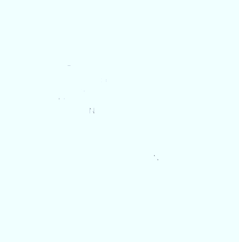 CCS(=O)(=O)N(c1ccccc1)C(Cc1ccccc1)c1cccnc1